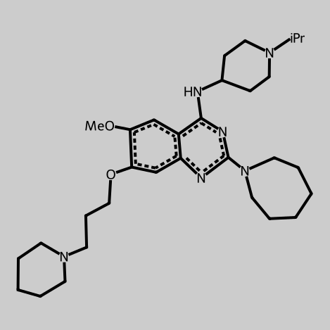 COc1cc2c(NC3CCN(C(C)C)CC3)nc(N3CCCCCC3)nc2cc1OCCCN1CCCCC1